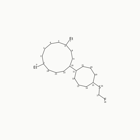 CCC1CCCCC(CC)CCC(C2CCCC(SCF)CCC2)CCC1